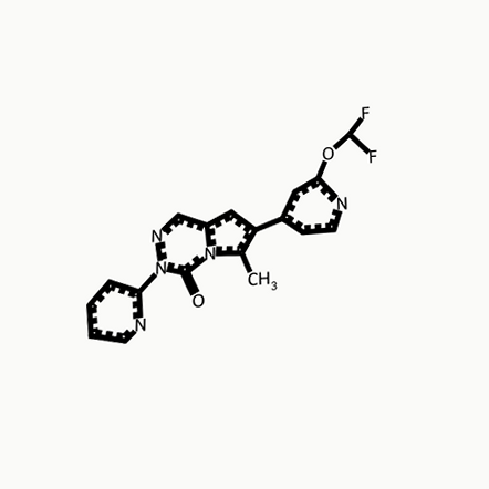 Cc1c(-c2ccnc(OC(F)F)c2)cc2cnn(-c3ccccn3)c(=O)n12